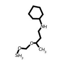 CC(CCNC1CCCCC1)OCO[SiH3]